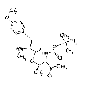 CN[C@@H](Cc1ccc(OC)cc1)C(=O)O[C@H](C)[C@H](NC(=O)OC(C)(C)C)C(C)=O